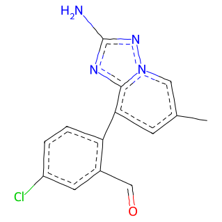 Cc1cc(-c2ccc(Cl)cc2C=O)c2nc(N)nn2c1